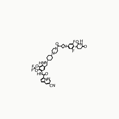 N#Cc1cnn2c(C(=O)Nc3cc4c(c5c3OC(F)(F)O5)NN([C@H]3CC[C@H](N5CCN(C(=O)C6CN(c7cc(F)c([C@H]8CCC(=O)NC8=O)c(F)c7)C6)CC5)CC3)C4)ccc2c1